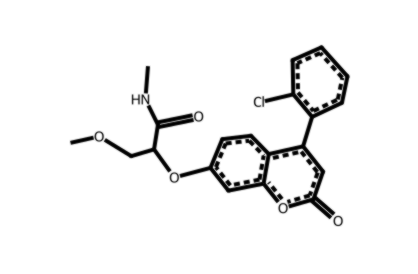 CNC(=O)C(COC)Oc1ccc2c(-c3ccccc3Cl)cc(=O)oc2c1